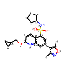 Cc1noc(C)c1-c1cc(S(=O)(=O)NC2CCCC2)c2ccc(OCC3CC3)nc2c1